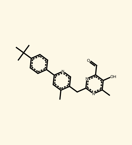 Cc1cc(-c2ccc(C(C)(C)C)cc2)ncc1Cc1nc(C)c(O)c([C]=O)n1